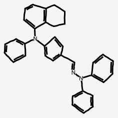 C(=NN(c1ccccc1)c1ccccc1)c1ccc(N(c2ccccc2)c2cccc3c2CCCC3)cc1